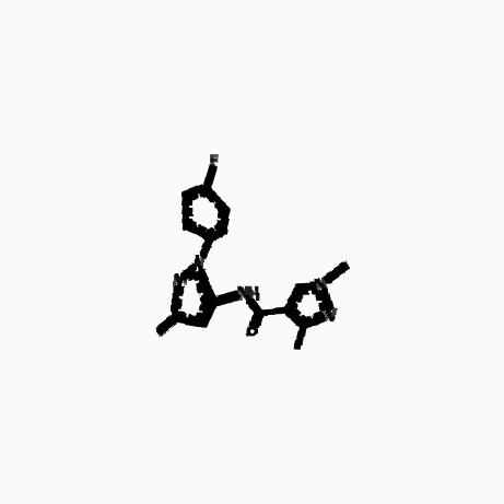 Cc1cc(NC(=O)c2cn(C)nc2C)n(-c2ccc(F)cc2)n1